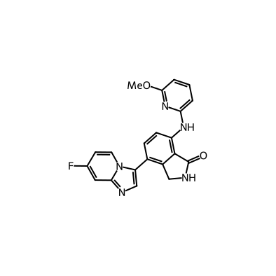 COc1cccc(Nc2ccc(-c3cnc4cc(F)ccn34)c3c2C(=O)NC3)n1